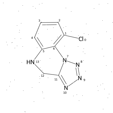 Clc1cccc2c1-n1nnnc1CN2